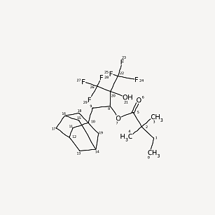 CCC(C)(C)C(=O)OC(CC12CC3CC(CC(C3)C1)C2)C(O)(C(F)(F)F)C(F)(F)F